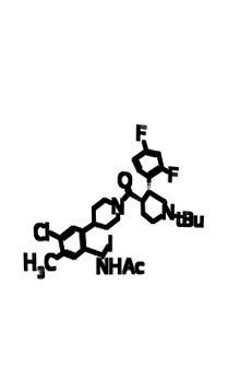 CC(=O)N[C@@H](I)c1cc(C)c(Cl)cc1C1CCN(C(=O)[C@@H]2CCN(C(C)(C)C)C[C@H]2c2ccc(F)cc2F)CC1